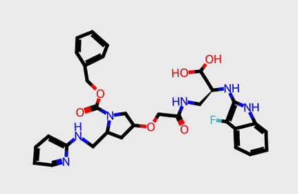 O=C(COC1CC(CNc2ccccn2)N(C(=O)OCc2ccccc2)C1)NC[C@H](Nc1[nH]c2ccccc2c1F)C(O)O